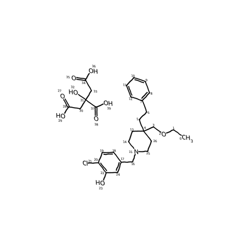 CCOCC1(CCc2ccccc2)CCN(Cc2ccc(Cl)c(O)c2)CC1.O=C(O)CC(O)(CC(=O)O)C(=O)O